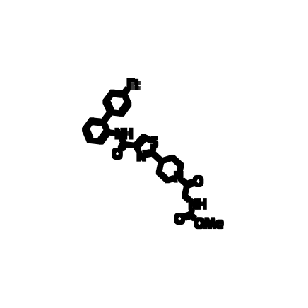 CCc1ccc(-c2ccccc2NC(=O)c2csc(C3CCN(C(=O)CNC(=O)OC)CC3)n2)cc1